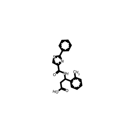 Cc1ccccc1C(CC(=O)O)NC(=O)c1csc(-c2ccccc2)n1